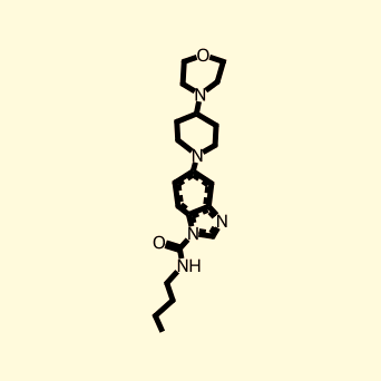 CCCCNC(=O)n1cnc2cc(N3CCC(N4CCOCC4)CC3)ccc21